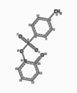 Cc1ccc(S(=O)(=O)On2ccccc2=O)cc1